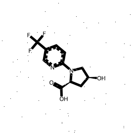 O=C(O)[C@@H]1C[C@H](O)CN1c1ccc(C(F)(F)F)cn1